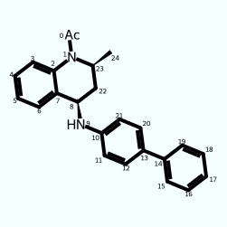 CC(=O)N1c2ccccc2[C@H](Nc2ccc(-c3ccccc3)cc2)C[C@@H]1C